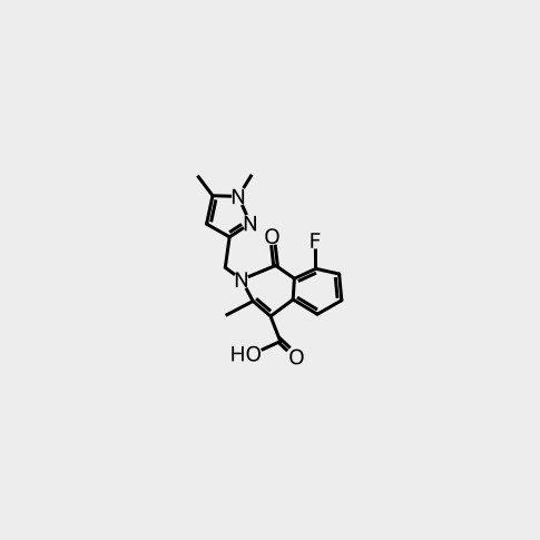 Cc1cc(Cn2c(C)c(C(=O)O)c3cccc(F)c3c2=O)nn1C